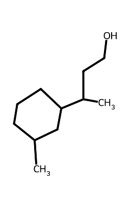 CC1CCCC(C(C)CCO)C1